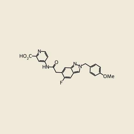 COc1ccc(Cn2cc3cc(F)c(CC(=O)Nc4ccnc(C(=O)O)c4)cc3n2)cc1